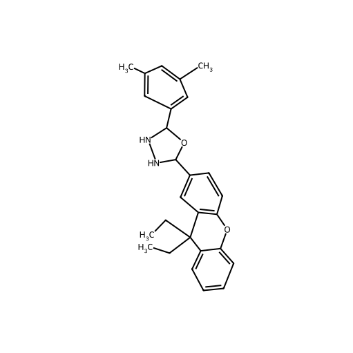 CCC1(CC)c2ccccc2Oc2ccc(C3NNC(c4cc(C)cc(C)c4)O3)cc21